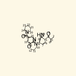 C=C(C)C(=O)C1C=CC(N2CCCOc3cc(C(=O)N4CCCCC4)cnc32)=CC1=N